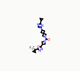 O=C(N1CC(c2nnc(C3(C(F)(F)F)CC3)o2)C1)N1CC2(CC(n3cnc(C4CC4)n3)C2)C1